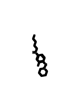 CCCCCNc1ccc(ON2CCCCC2)c(C)c1